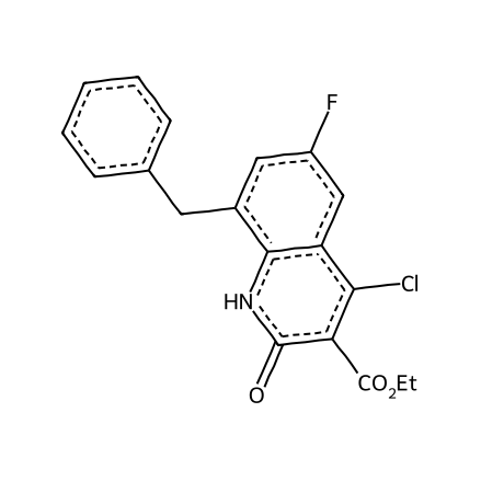 CCOC(=O)c1c(Cl)c2cc(F)cc(Cc3ccccc3)c2[nH]c1=O